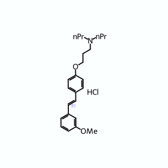 CCCN(CCC)CCCOc1ccc(/C=C/c2cccc(OC)c2)cc1.Cl